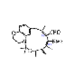 C=C1/C(C)=C(NC)\C(C=O)=C(\C)Cc2ccc3c(c2)N(CCO3)C(C)(C)OC1C